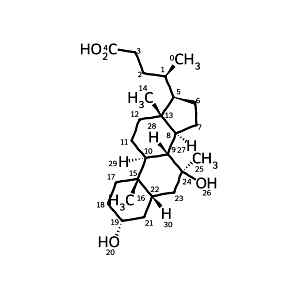 C[C@H](CCC(=O)O)[C@H]1CC[C@H]2[C@H]3[C@H](CC[C@]12C)[C@@]1(C)CC[C@@H](O)C[C@H]1C[C@]3(C)O